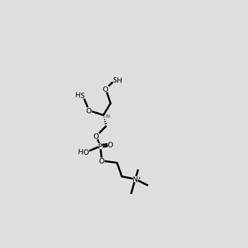 C[N+](C)(C)CCOP(=O)(O)OC[C@@H](COS)OS